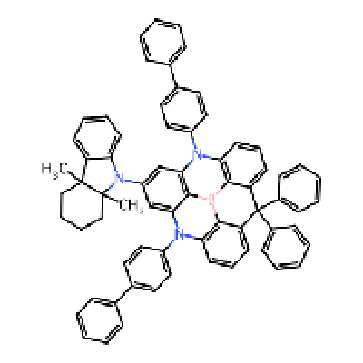 CC12CCCCC1(C)N(c1cc3c4c(c1)N(c1ccc(-c5ccccc5)cc1)c1cccc5c1B4c1c(cccc1C5(c1ccccc1)c1ccccc1)N3c1ccc(-c3ccccc3)cc1)c1ccccc12